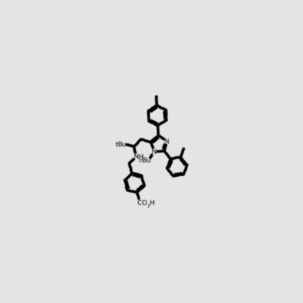 CCCCn1c(-c2ccccc2C)nc(-c2ccc(C)cc2)c1CC(NCc1ccc(C(=O)O)cc1)C(C)(C)C